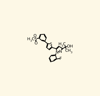 CC(C)(O)c1cc(-c2ccc(-c3cccc(S(C)(=O)=O)c3)s2)n(-c2ccccc2F)n1